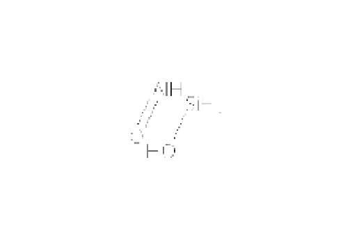 O[SiH3].[O]=[AlH]